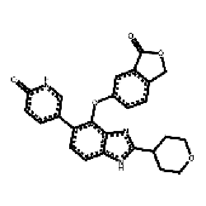 O=C1OCc2ccc(Oc3c(-c4ccc(=O)[nH]c4)ccc4[nH]c(C5CCOCC5)nc34)cc21